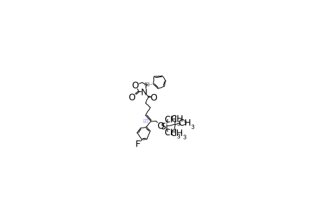 CC(C)(C)[Si](C)(C)OC/C(=C\CCC(=O)N1C(=O)OC[C@@H]1c1ccccc1)c1ccc(F)cc1